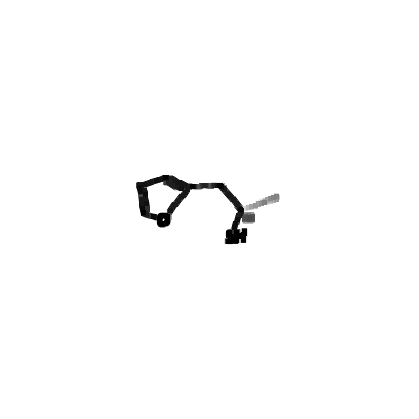 C[C@H](S)Cc1ccco1